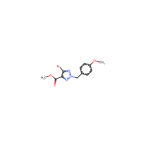 COC(=O)c1nn(Cc2ccc(OC)cc2)nc1Br